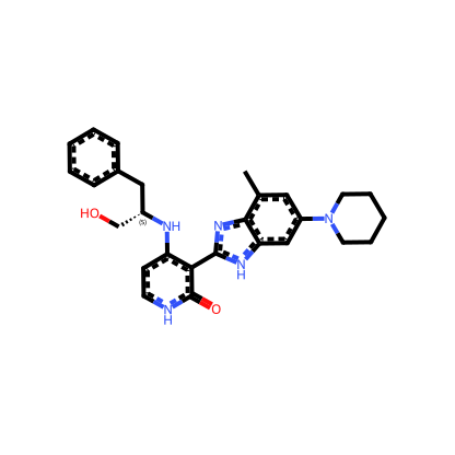 Cc1cc(N2CCCCC2)cc2[nH]c(-c3c(N[C@H](CO)Cc4ccccc4)cc[nH]c3=O)nc12